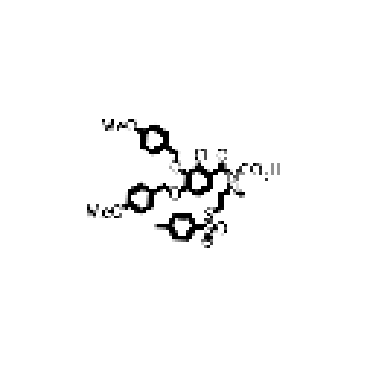 COc1ccc(COc2ccc(C(=O)N(C(=O)O)N(C)CCSS(=O)(=O)c3ccc(C)cc3)c(Cl)c2OCc2ccc(OC)cc2)cc1